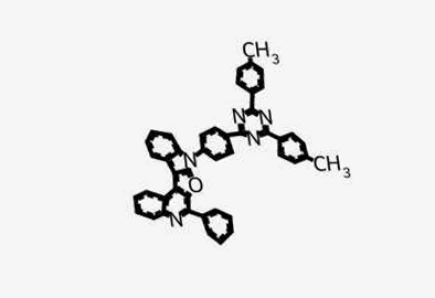 Cc1ccc(-c2nc(-c3ccc(C)cc3)nc(-c3ccc(-n4c5ccccc5c5c6c(oc54)c(-c4ccccc4)nc4ccccc46)cc3)n2)cc1